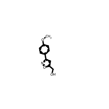 COc1ccc(-c2cc(CO)on2)cc1